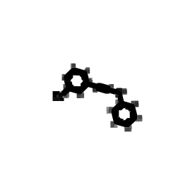 CCc1cccc(C#CSc2ccccc2)c1